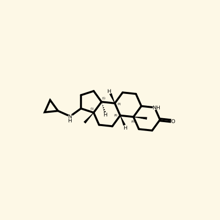 C[C@]12CCC(=O)NC1CC[C@@H]1[C@H]2CC[C@]2(C)C(NC3CC3)CC[C@@H]12